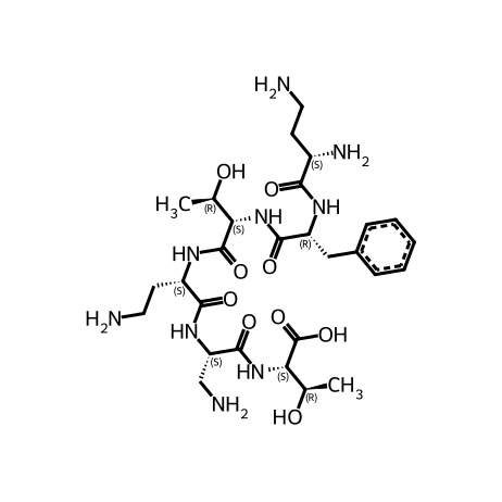 C[C@@H](O)[C@H](NC(=O)[C@H](CN)NC(=O)[C@H](CCN)NC(=O)[C@@H](NC(=O)[C@@H](Cc1ccccc1)NC(=O)[C@@H](N)CCN)[C@@H](C)O)C(=O)O